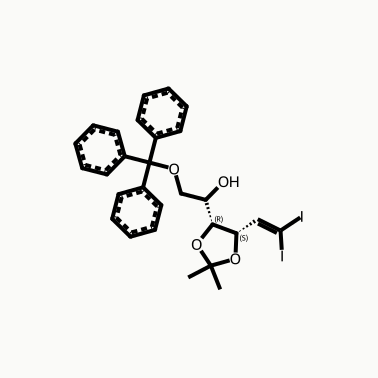 CC1(C)O[C@@H](C=C(I)I)[C@@H](C(O)COC(c2ccccc2)(c2ccccc2)c2ccccc2)O1